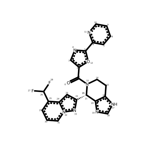 O=C(c1cnc(-c2ccccn2)o1)N1CCc2[nH]cnc2[C@@H]1c1cc2c(C(F)F)cccn2n1